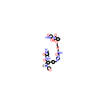 CCN(c1cc(-c2ccc(CN3CCN(CC(=O)NCCOCCCOc4cccc5c4C(=O)N(C4CCC(=O)NC4=O)C5=O)CC3)cc2)cc(C(=O)NCc2c(C)cc(C)[nH]c2=O)c1C)C1CCOCC1